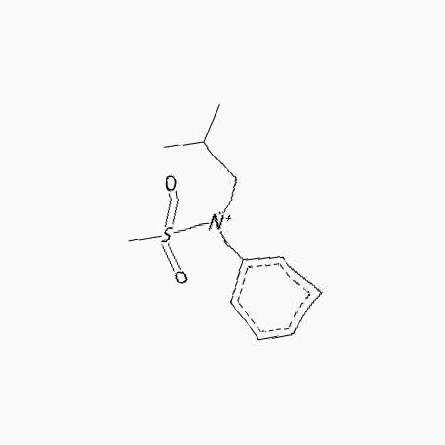 CC(C)C[N+](c1ccccc1)S(C)(=O)=O